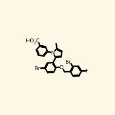 Cc1ccc(-c2cc(Br)ccc2OCc2ccc(F)cc2Br)n1-c1cccc(C(=O)O)c1